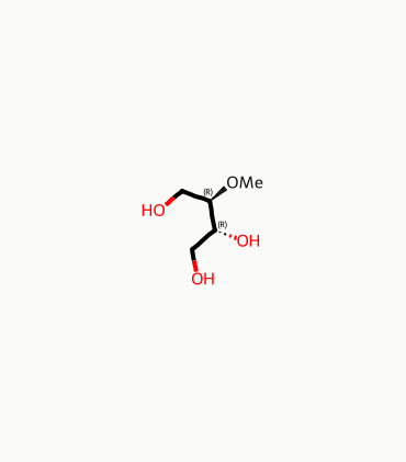 CO[C@H](CO)[C@H](O)CO